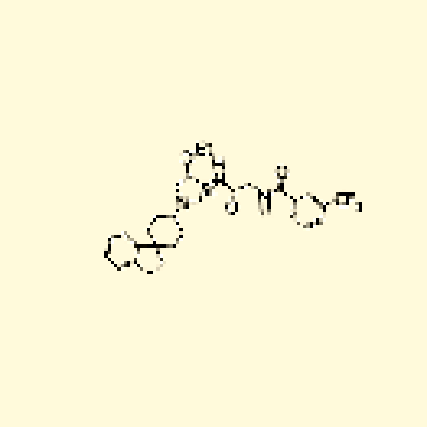 CCOC1CN(C2CCC3(CCc4ccccc43)CC2)C[C@@H]1NC(=O)CNC(=O)c1cccc(C(F)(F)F)c1